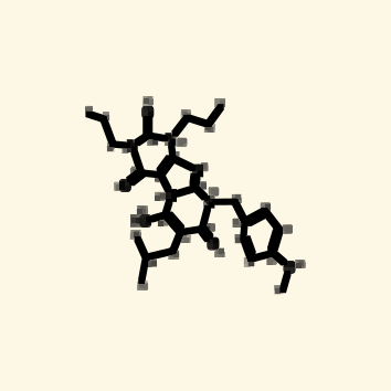 CCCn1c(=O)c2c(nc3n(Cc4ccc(OC)cc4)c(=O)c(CC(C)C)c(O)n23)n(CCC)c1=O